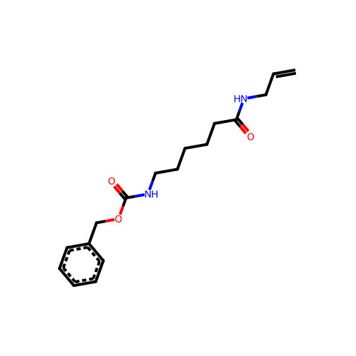 C=CCNC(=O)CCCCCNC(=O)OCc1ccccc1